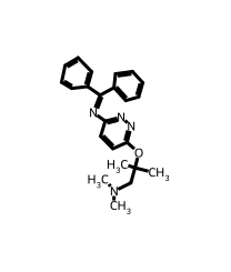 CN(C)CC(C)(C)Oc1ccc(N=C(c2ccccc2)c2ccccc2)nn1